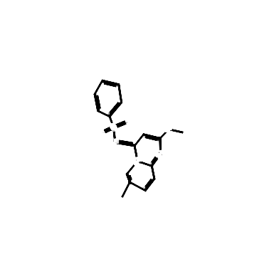 CSc1cc(=NS(=O)(=O)c2ccccc2)n2cc(C)ccc2n1